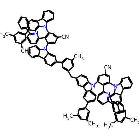 Cc1cc(C)cc(-c2ccc3c(c2)c2ccccc2n3-c2cc(C#N)cc(-n3c4ccc(Cc5cc(C)cc(-c6ccc7c8ccccc8n(-c8cc(C#N)cc(-n9c%10ccccc%10c%10ccc(-c%11cc(C)cc(C)c%11)cc%109)c8-c8cccc(-c9ccccc9)n8)c7c6)c5)cc4c4cc(-c5cc(C)cc(C)c5)ccc43)c2-c2cccc(-c3ccccc3)n2)c1